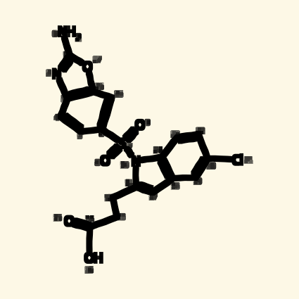 Nc1nc2ccc(S(=O)(=O)n3c(CCC(=O)O)cc4cc(Cl)ccc43)cc2o1